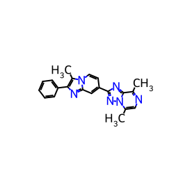 Cc1ncc(C)n2nc(-c3ccn4c(C)c(-c5ccccc5)nc4c3)nc12